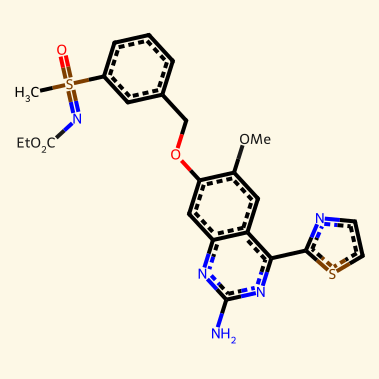 CCOC(=O)N=S(C)(=O)c1cccc(COc2cc3nc(N)nc(-c4nccs4)c3cc2OC)c1